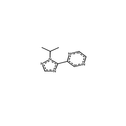 CC(C)n1ncnc1-c1cnccn1